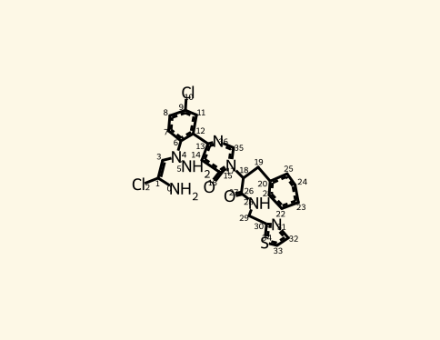 N/C(Cl)=C\N(N)c1ccc(Cl)cc1-c1cc(=O)n(C(Cc2ccccc2)C(=O)NCc2nccs2)cn1